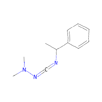 CC(N=C=NN(C)C)c1ccccc1